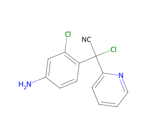 N#CC(Cl)(c1ccccn1)c1ccc(N)cc1Cl